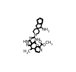 C=C(c1ccnc(C(=O)OC)c1)c1n[nH]c2nc(N3CCC4(CC3)Cc3ccccc3[C@H]4N)[nH]c(=O)c12